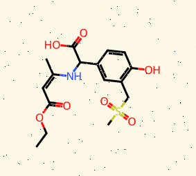 CCOC(=O)/C=C(/C)NC(C(=O)O)c1ccc(O)c(CS(C)(=O)=O)c1